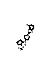 [O]c1cccc2nc(N3CCC(Nc4ccccc4OC(F)(F)F)CC3)sc12